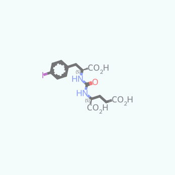 O=C(O)CC[C@H](NC(=O)N[C@@H](Cc1ccc(I)cc1)C(=O)O)C(=O)O